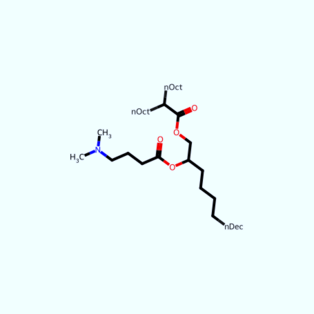 CCCCCCCCCCCCCCC(COC(=O)C(CCCCCCCC)CCCCCCCC)OC(=O)CCCN(C)C